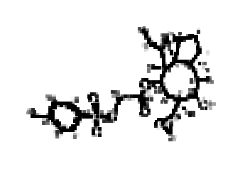 CC[C@@H](C)[C@]1(C)[C@@H]2C(=O)CC[C@@]2(C)[C@@H](C)[C@H](O)[C@@](C)([C@H]2CO2)C[C@H]1OC(=O)COS(=O)(=O)c1ccc(C)cc1